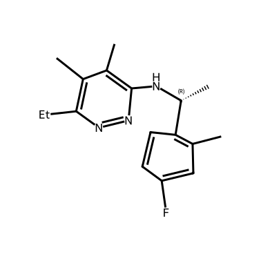 CCc1nnc(N[C@H](C)c2ccc(F)cc2C)c(C)c1C